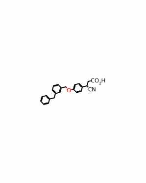 N#CC(CC(=O)O)c1ccc(OCc2cccc(Cc3ccccc3)c2)cc1